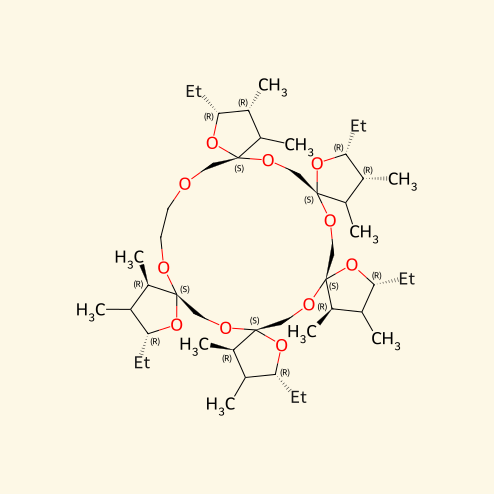 CC[C@H]1O[C@]2(CO[C@]3(CO[C@]4(COCCO[C@]5(CO[C@]6(CO2)O[C@H](CC)C(C)[C@H]6C)O[C@H](CC)C(C)[C@H]5C)O[C@H](CC)[C@H](C)C4C)O[C@H](CC)[C@H](C)C3C)[C@H](C)C1C